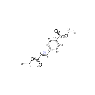 CCOC(=O)/C=C/c1ccc(C(=O)OCC)cc1